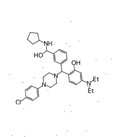 CCN(CC)c1ccc(C(c2cccc(C(O)NC3CCCC3)c2)N2CCN(c3ccc(Cl)cc3)CC2)c(O)c1